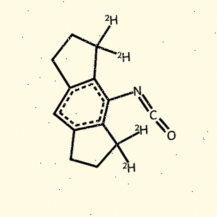 [2H]C1([2H])CCc2cc3c(c(N=C=O)c21)C([2H])([2H])CC3